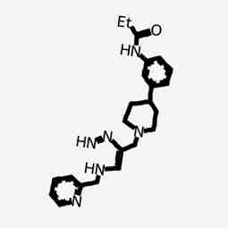 CCC(=O)Nc1cccc(C2CCN(C/C(=C/NCc3ccccn3)N=N)CC2)c1